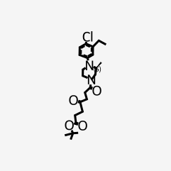 CCc1cc(N2CCN(C(=O)CCC(=O)CCC(=O)OC(C)(C)C)C[C@@H]2C)ccc1Cl